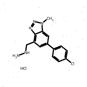 Cl.Cn1nnc2c(CNN)cc(-c3ccc(Cl)cc3)cc21